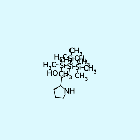 C[Si](C)(C)[Si](C[C@@H](O)[C@@H]1CCCN1)([Si](C)(C)C)[Si](C)(C)C